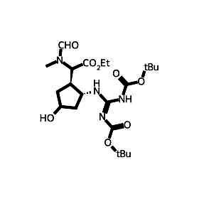 CCOC(=O)C([C@@H]1CC(O)C[C@H]1NC(=NC(=O)OC(C)(C)C)NC(=O)OC(C)(C)C)N(C)C=O